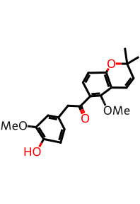 COc1cc(CC(=O)c2ccc3c(c2OC)C=CC(C)(C)O3)ccc1O